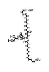 CCCC/C=C\C/C=C\CCCCCCCC(=O)O[C@H](COC(=O)CCCCCCC/C=C\C/C=C\CCCCC)COP(=O)(O)OC[C@@H](O)CO